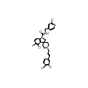 O=C(NCc1ccnc(Cl)c1)N1CC2(CCN(C/C=C/c3ccc(Cl)c(Cl)c3)CC2)c2c1ccc(F)c2Cl